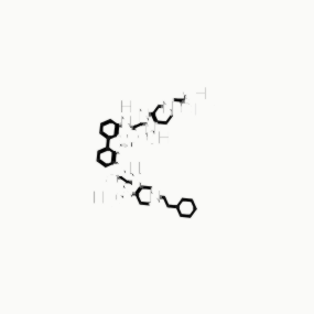 C[C@@H](O)CN1CCc2c(nc(C(=O)Nc3cccc(-c4cccc(NC(=O)c5nc6c(n5C)CCN(CCC5CCCCC5)C6)c4Cl)c3Cl)n2C)C1